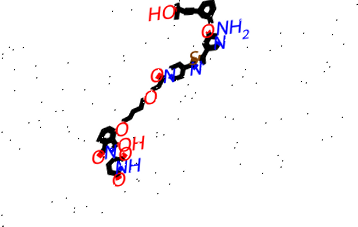 CC(C)(O)C#Cc1cccc(COc2cc(-c3cnc(C4CCN(C(=O)CCOCCCCCOc5cccc6c5C(O)N(C5CCC(=O)NC5=O)C6=O)CC4)s3)cnc2N)c1